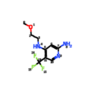 COCCNc1cc(N)ncc1C(F)(F)F